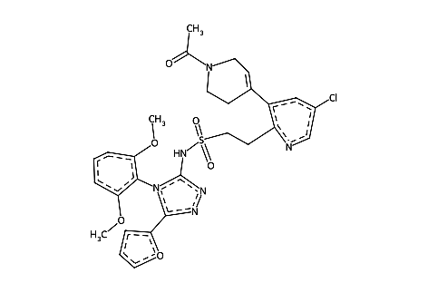 COc1cccc(OC)c1-n1c(NS(=O)(=O)CCc2ncc(Cl)cc2C2=CCN(C(C)=O)CC2)nnc1-c1ccco1